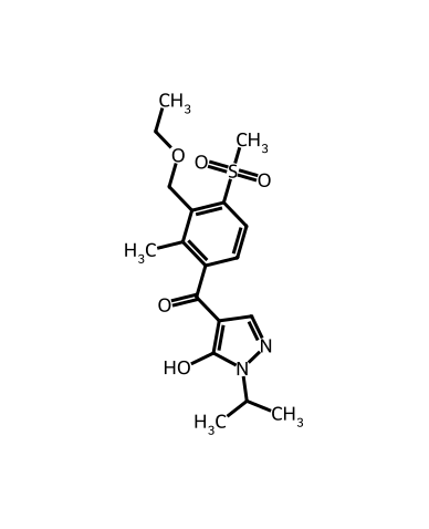 CCOCc1c(S(C)(=O)=O)ccc(C(=O)c2cnn(C(C)C)c2O)c1C